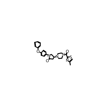 Cc1csc(C(=O)N2CCN(C3CC(=O)N(c4ccc(Oc5ccccc5)cc4)C3)CC2)n1